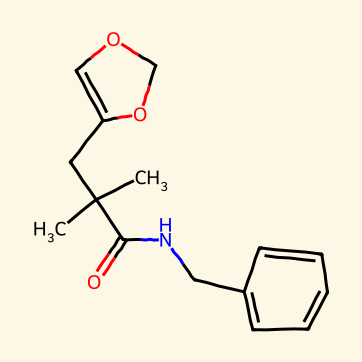 CC(C)(CC1=COCO1)C(=O)NCc1ccccc1